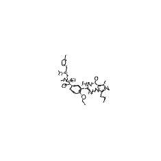 CCCc1nc(C)c2c(=O)[nH]c(-c3cc(S(=O)(=O)N(C)C[C@H](COC)OC)ccc3OCC)nn12